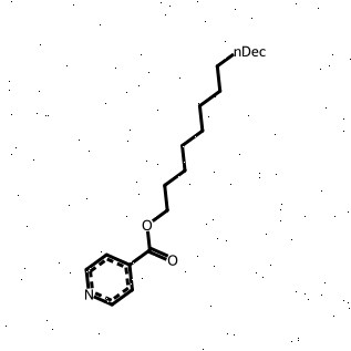 CCCCCCCCCCCCCCCCCCOC(=O)c1ccncc1